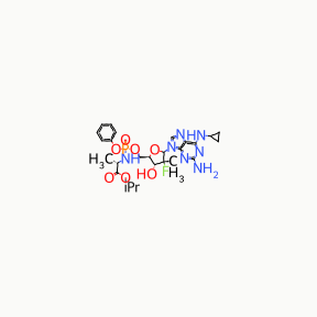 CC(C)OC(=O)[C@H](C)NP(=O)(OC[C@H]1O[C@@H](n2cnc3c(NC4CC4)nc(N)nc32)[C@](C)(F)[C@@H]1O)Oc1ccccc1